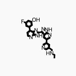 CCNCc1cncc(-c2cnc3[nH]nc(-c4nc5c(-c6cc(O)cc(F)c6)ccnc5[nH]4)c3c2)c1